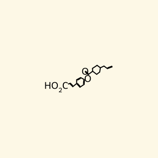 C=CCC1CCC(C(=O)Oc2ccc(C=CC(=O)O)cc2)CC1